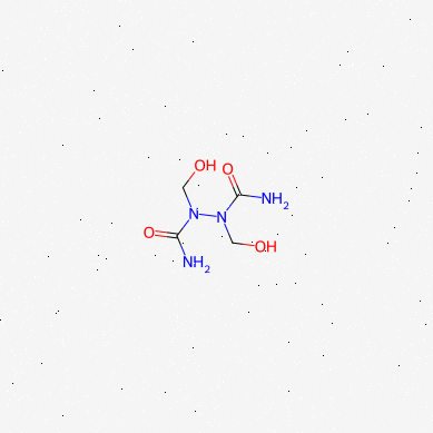 NC(=O)N(CO)N(CO)C(N)=O